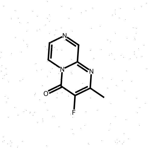 Cc1nc2cnccn2c(=O)c1F